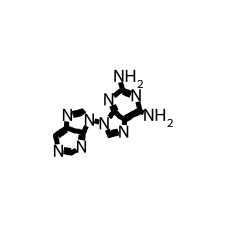 Nc1nc(N)c2ncn(-n3cnc4cncnc43)c2n1